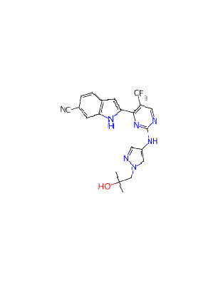 CC(C)(O)Cn1cc(Nc2ncc(C(F)(F)F)c(-c3cc4ccc(C#N)cc4[nH]3)n2)cn1